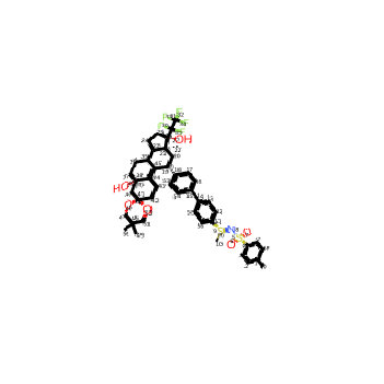 Cc1ccc(S(=O)(=O)N=[S@@](C)c2ccc(-c3ccc([C@H]4C[C@@]5(C)C(CC[C@@]5(O)C(F)(F)C(F)(F)F)C5CC[C@@]6(O)CC7(CCC6=C54)OCC(C)(C)CO7)cc3)cc2)cc1